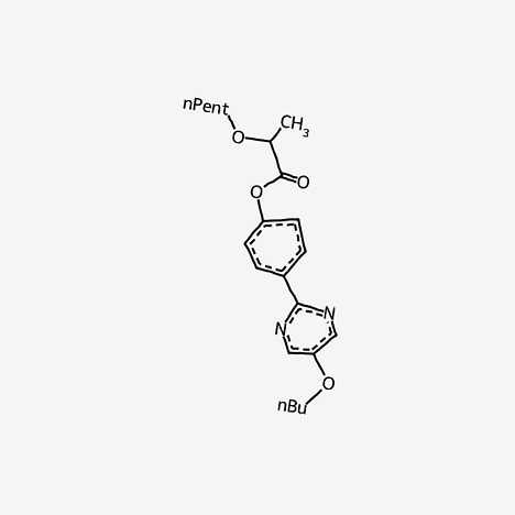 CCCCCOC(C)C(=O)Oc1ccc(-c2ncc(OCCCC)cn2)cc1